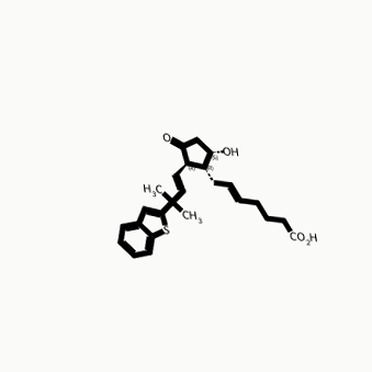 CC(C)(C=C[C@H]1C(=O)C[C@H](O)[C@@H]1CC=CCCCC(=O)O)c1cc2ccccc2s1